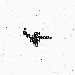 COCCOCCOC(=O)[C@H](CO)C[C@@H](Cc1ccc(-c2cccc(F)c2)cc1)NC(=O)c1nc(Cl)n[nH]1